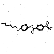 CCCCCCOc1ccc(OC(=O)c2ccc([N+](=O)[O-])cc2)cc1